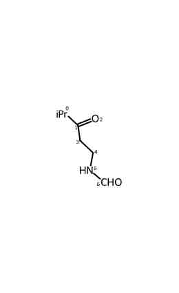 CC(C)C(=O)CCNC=O